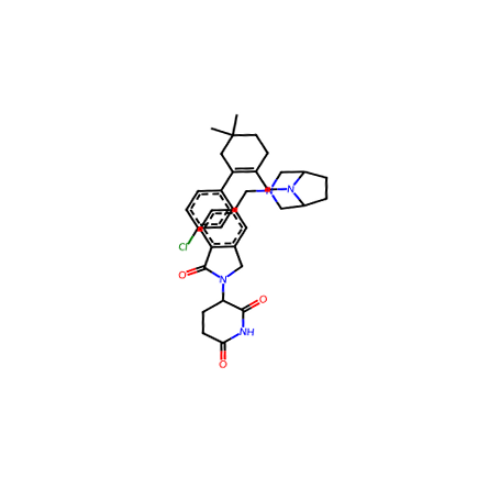 CC1(C)CCC(CN2C3CCC2CN(Cc2ccc4c(c2)CN(C2CCC(=O)NC2=O)C4=O)C3)=C(c2ccc(Cl)cc2)C1